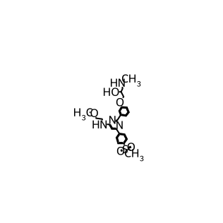 CNCC(O)COc1cccc(-c2nc(NCCOC)cc(-c3ccc(S(C)(=O)=O)cc3)n2)c1